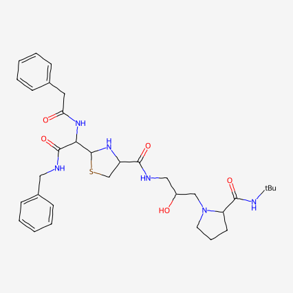 CC(C)(C)NC(=O)C1CCCN1CC(O)CNC(=O)C1CSC(C(NC(=O)Cc2ccccc2)C(=O)NCc2ccccc2)N1